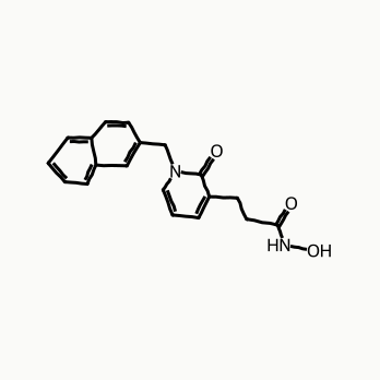 O=C(CCc1cccn(Cc2ccc3ccccc3c2)c1=O)NO